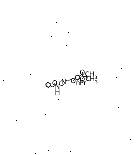 CCCc1c(OCCCN2CCC(NC(=O)Cc3ccccc3)CC2)ccc2c1OC(=C(C)C)C2=O